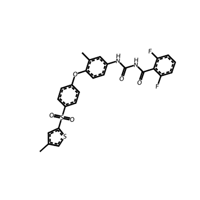 Cc1csc(S(=O)(=O)c2ccc(Oc3ccc(NC(=O)NC(=O)c4c(F)cccc4F)cc3C)cc2)c1